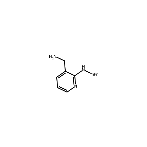 CCCNc1ncccc1CN